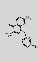 CCOC(=O)c1cn(Cc2cccc(Br)n2)c2nc(C(F)(F)F)ccc2c1=O